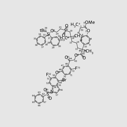 COC(=O)[C@@H](C)Cc1cccc([C@@](C)(CCCC(C)(C)CS(=O)(=O)CCO[Si](c2ccccc2)(c2ccccc2)C(C)(C)C)C(=O)OCC(=O)c2cc(Oc3c(F)cc4c(ccn4S(=O)(=O)c4ccccc4)c3Br)ccc2F)c1